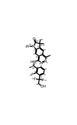 Cc1nnc(N[C@H](C)c2cccc(C(F)(F)CO)c2F)c2cc3c(cc12)C(C)(C)C(=O)N3C(C)C